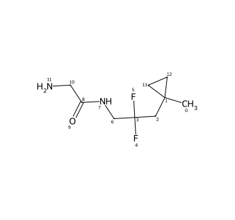 CC1(CC(F)(F)CNC(=O)CN)CC1